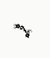 Cc1ccc2c(c1)SC(N)N2CCCCN1CCN(c2ccc(Cl)c(Cl)c2)CC1